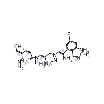 C=NN(/C=C(\N)c1cc(F)cc(N)c1/C=N\C)C/C(N)=C/NC(=C)/C=C\C(=C/C)CN